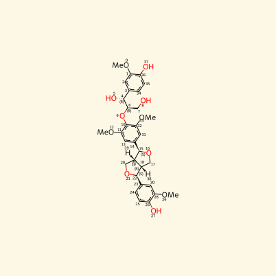 COc1cc([C@@H](O)[C@@H](CO)Oc2c(OC)cc([C@H]3OC[C@H]4[C@@H]3CO[C@@H]4c3ccc(O)c(OC)c3)cc2OC)ccc1O